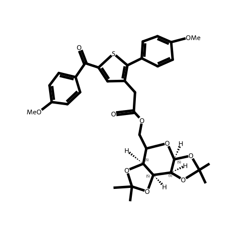 COc1ccc(C(=O)c2cc(CC(=O)OCC3O[C@H]4OC(C)(C)O[C@H]4[C@H]4OC(C)(C)O[C@@H]34)c(-c3ccc(OC)cc3)s2)cc1